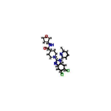 Cc1cccc(-n2c(N3CCC(C(=O)NC4CCOC4)CC3)nc3cc(Cl)c(Cl)cc32)n1